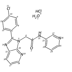 Cl.O.O=C(Cn1c(-c2ccc(Cl)cc2)nc2cccnc21)Nc1cccnc1